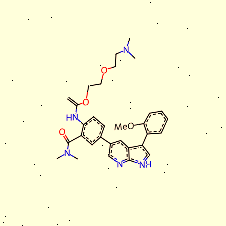 C=C(Nc1ccc(-c2cnc3[nH]cc(-c4ccccc4OC)c3c2)cc1C(=O)N(C)C)OCCOCCN(C)C